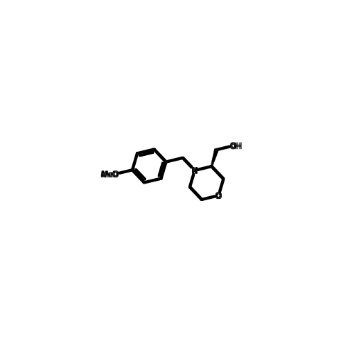 COc1ccc(CN2CCOC[C@@H]2CO)cc1